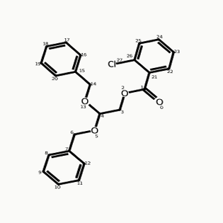 O=C(OCC(OCc1ccccc1)OCc1ccccc1)c1ccccc1Cl